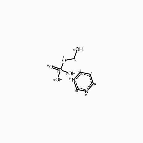 O=P(O)(O)OCO.c1cncnc1